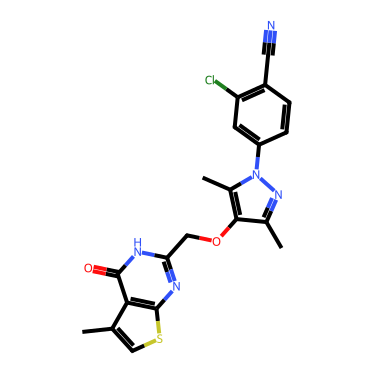 Cc1nn(-c2ccc(C#N)c(Cl)c2)c(C)c1OCc1nc2scc(C)c2c(=O)[nH]1